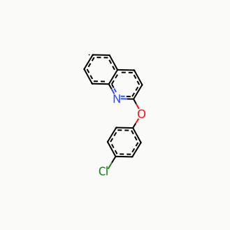 Clc1ccc(Oc2ccc3c[c]ccc3n2)cc1